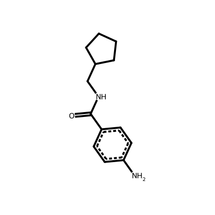 Nc1ccc(C(=O)NCC2CCCC2)cc1